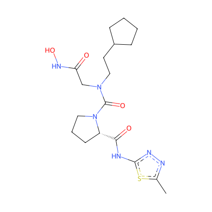 Cc1nnc(NC(=O)[C@@H]2CCCN2C(=O)N(CCC2CCCC2)CC(=O)NO)s1